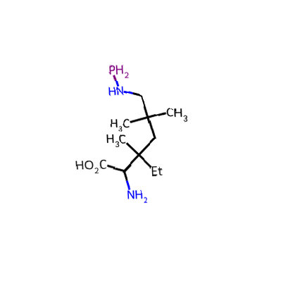 CCC(C)(CC(C)(C)CNP)C(N)C(=O)O